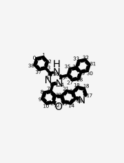 c1ccc(C2=NC(c3cccc4oc5cc6ncccc6cc5c34)=NC(c3ccc4ccccc4c3)N2)cc1